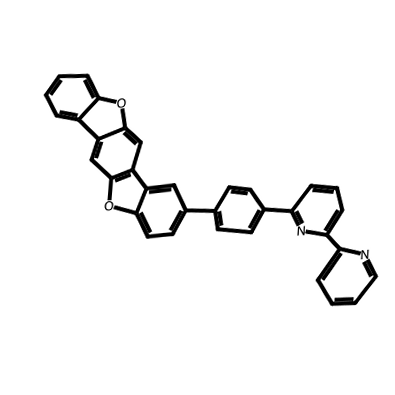 c1ccc(-c2cccc(-c3ccc(-c4ccc5oc6cc7c(cc6c5c4)oc4ccccc47)cc3)n2)nc1